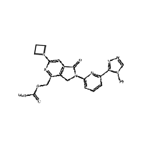 CNC(=O)OCc1nc(N2CCC2)cc2c1CN(c1cccc(-c3nncn3C(C)C)n1)C2=O